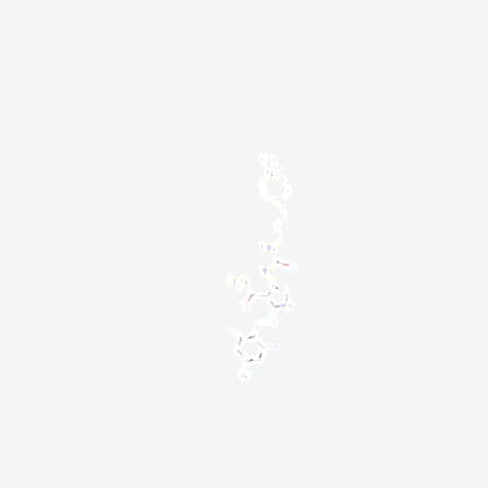 CN1CCN(CCCNC(=O)Nc2snc(OCc3c(F)cc(Br)cc3F)c2C(N)=O)CC1